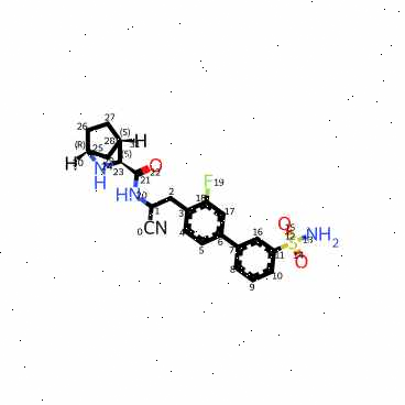 N#CC(Cc1ccc(-c2cccc(S(N)(=O)=O)c2)cc1F)NC(=O)[C@H]1N[C@@H]2CC[C@H]1C2